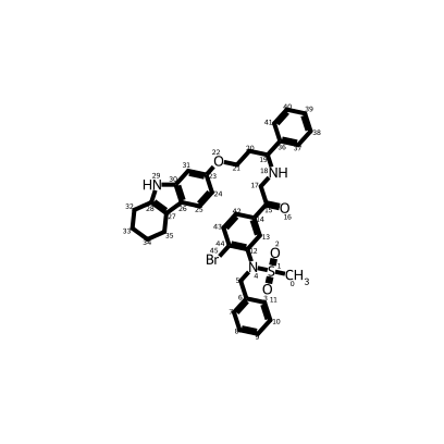 CS(=O)(=O)N(Cc1ccccc1)c1cc(C(=O)CNC(CCOc2ccc3c4c([nH]c3c2)CCCC4)c2ccccc2)ccc1Br